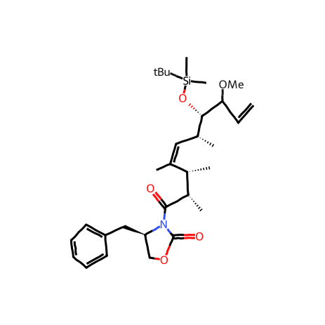 C=CC(OC)[C@@H](O[Si](C)(C)C(C)(C)C)[C@H](C)/C=C(/C)[C@H](C)[C@H](C)C(=O)N1C(=O)OC[C@H]1Cc1ccccc1